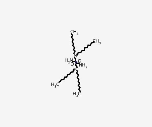 CCCCCCCCCCCCN(CCCCCCCCCCCC)CC/C(C(N)=O)=C(/CCN(CCCCCCCCCCCC)CCCCCCCCCCCC)C(N)=O